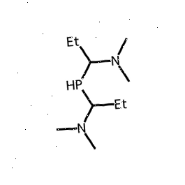 CCC(PC(CC)N(C)C)N(C)C